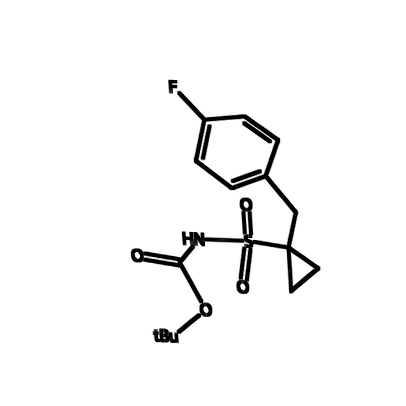 CC(C)(C)OC(=O)NS(=O)(=O)C1(Cc2ccc(F)cc2)CC1